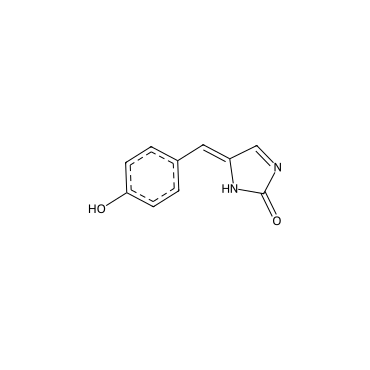 O=C1N=CC(=Cc2ccc(O)cc2)N1